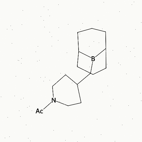 CC(=O)N1CCC(CB2C3CCCC2CCC3)CC1